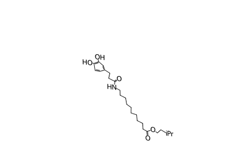 CC(C)CCOC(=O)CCCCCCCCCCNC(=O)CCc1ccc(O)c(O)c1